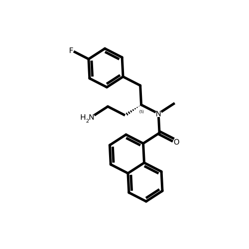 CN(C(=O)c1cccc2ccccc12)[C@H](CCN)Cc1ccc(F)cc1